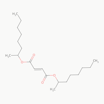 CCCCCCC(C)OC(=O)C=CC(=O)OC(C)CCCCCC